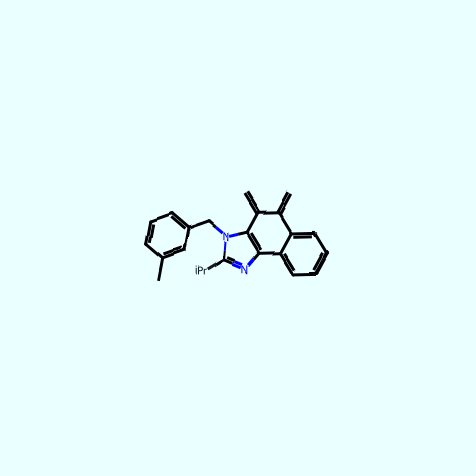 C=c1c(=C)c2c(nc(C(C)C)n2Cc2cccc(C)c2)c2ccccc12